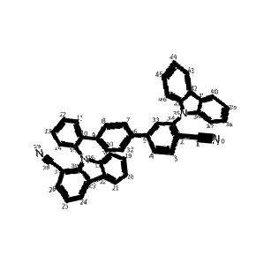 N#Cc1ccc(-c2ccc(-c3ccccc3-n3c4ccccc4c4cccc(C#N)c43)cc2)cc1-n1c2ccccc2c2ccccc21